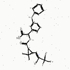 CC1(C)C(/C=C(\Cl)C(F)(F)F)C1C(=O)OC(C(=O)O)c1cccc(Oc2ccccc2)c1